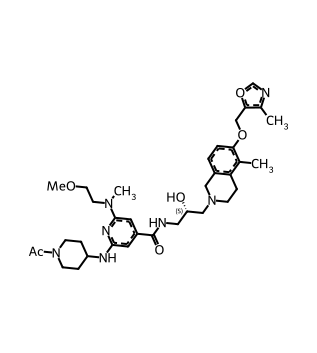 COCCN(C)c1cc(C(=O)NC[C@H](O)CN2CCc3c(ccc(OCc4ocnc4C)c3C)C2)cc(NC2CCN(C(C)=O)CC2)n1